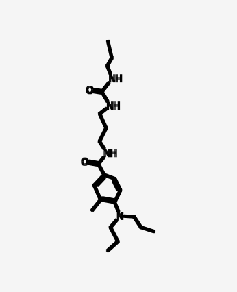 CCCNC(=O)NCCCNC(=O)c1ccc(N(CCC)CCC)c(C)c1